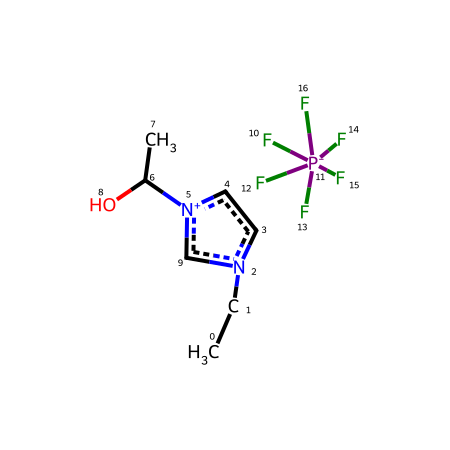 CCn1cc[n+](C(C)O)c1.F[P-](F)(F)(F)(F)F